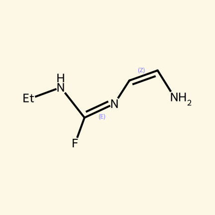 CCN/C(F)=N\C=C/N